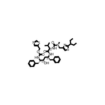 CCC(CC)c1nc(CN(C)C(=O)N[C@H](C(=O)N[C@@H](Cc2ccccc2)C[C@H](O)[C@H](Cc2ccccc2)NC(=O)OCc2cncs2)C(C)C)cs1